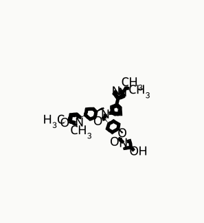 COc1ccc([C@H]2CC[C@H](CN(c3cccc(-c4cnn(C(C)C)c4)c3)C(=O)[C@H]3CC[C@H](OC(=O)N4CC(O)C4)CC3)CC2)nc1C